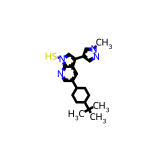 Cn1cc(-c2cn(S)c3ncc(C4CCC(C(C)(C)C)CC4)cc23)cn1